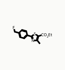 CCOC(=O)c1sc(-c2ccc(CF)cc2)nc1C